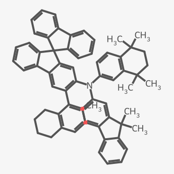 Cc1ccc2c(c1-c1cc3c(cc1N(c1ccc4c(c1)C(C)(C)CCC4(C)C)c1ccc4c(c1)C(C)(C)c1ccccc1-4)C1(c4ccccc4-c4ccccc41)c1ccccc1-3)CCCC2